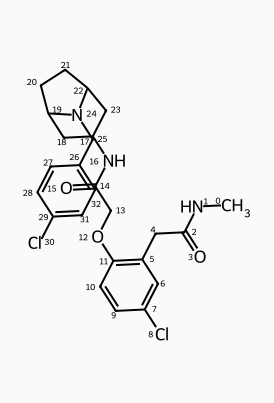 CNC(=O)Cc1cc(Cl)ccc1OCC(=O)NC1CC2CCC(C1)N2Cc1ccc(Cl)cc1